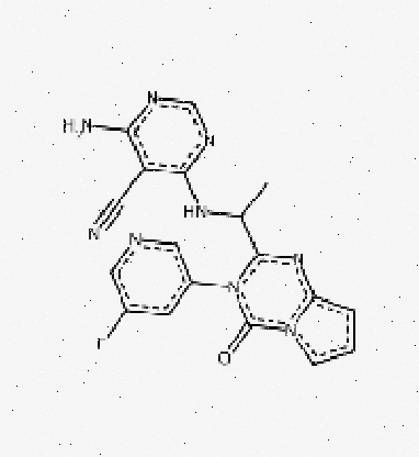 CC(Nc1ncnc(N)c1C#N)c1nc2cccn2c(=O)n1-c1cncc(F)c1